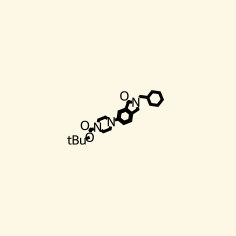 CC(C)(C)OC(=O)N1CCN(c2ccc3c(c2)C(=O)N(CC2CCCCC2)C3)CC1